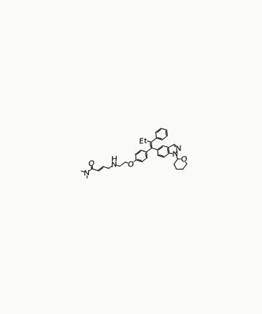 CCC(=C(c1ccc(OCCNCC=CC(=O)N(C)C)cc1)c1ccc2c(cnn2C2CCCCO2)c1)c1ccccc1